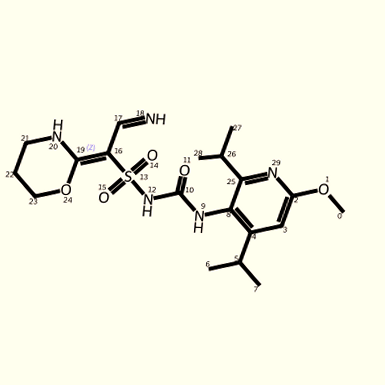 COc1cc(C(C)C)c(NC(=O)NS(=O)(=O)/C(C=N)=C2/NCCCO2)c(C(C)C)n1